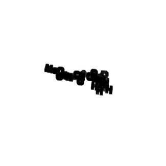 COC(=O)N1CCN(C(C)(C)/C=C(\C#N)C(=O)N2CC[C@H](COC(=O)N[C@@H](Cc3ccccc3)B3O[C@@H]4C[C@H]5C[C@@H](C5(C)C)[C@]4(C)O3)C2)CC1